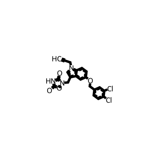 C#CCn1cc(Cn2oc(=O)[nH]c2=O)c2cc(OCc3ccc(Cl)c(Cl)c3)ccc21